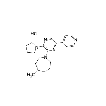 CN1CCCN(c2nc(-c3ccncc3)cnc2N2CCCC2)CC1.Cl